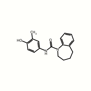 Cc1cc(NC(=O)N2CCCCc3ccccc32)ccc1O